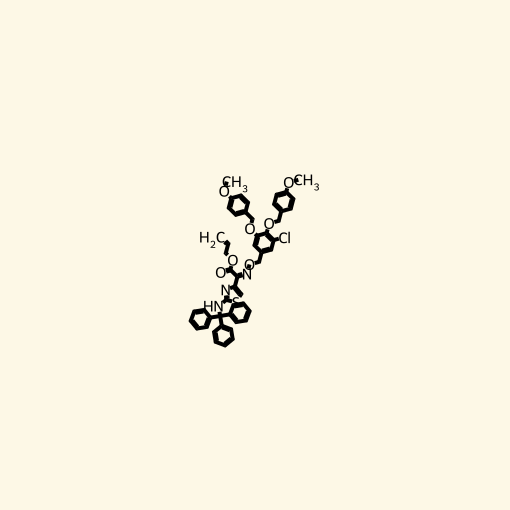 C=CCOC(=O)C(=NOCc1cc(Cl)c(OCc2ccc(OC)cc2)c(OCc2ccc(OC)cc2)c1)c1csc(NC(c2ccccc2)(c2ccccc2)c2ccccc2)n1